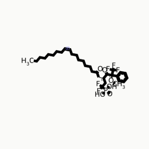 CCCCCCCC/C=C\CCCCCCCC(=O)C[C@@H](CC(F)(F)P(=O)(O)O)C(=O)[C@@](OC)(c1ccccc1)C(F)(F)F